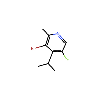 Cc1ncc(F)c(C(C)C)c1Br